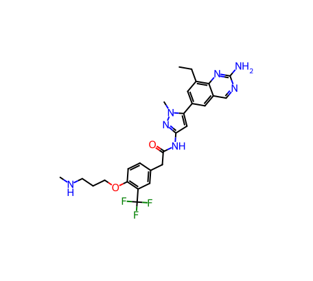 CCc1cc(-c2cc(NC(=O)Cc3ccc(OCCCNC)c(C(F)(F)F)c3)nn2C)cc2cnc(N)nc12